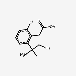 CC(N)(CO)c1cccc(Cl)c1CC(=O)O